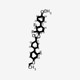 CCOc1ccc(C2CCC(C(=O)Oc3ccc(-c4ccc(OC)cc4)c(F)c3F)CC2)c(F)c1